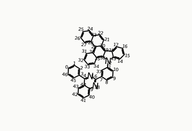 c1ccc(-c2nc(-c3cccc(-n4c5ccccc5c5c6ccc7ccccc7c6c6ccccc6c54)c3)nc3ccccc23)cc1